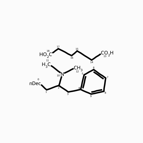 CCCCCCCCCCCC(Cc1ccccc1)N(C)C.O=C(O)CCCCC(=O)O